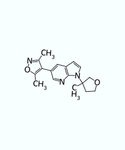 Cc1noc(C)c1-c1cnc2c(ccn2C2(C)CCOC2)c1